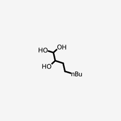 CCCCCCC(O)C(O)O